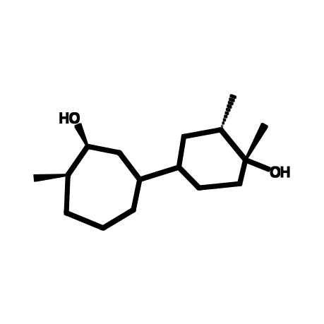 C[C@@H]1CCCC(C2CC[C@@](C)(O)[C@@H](C)C2)C[C@@H]1O